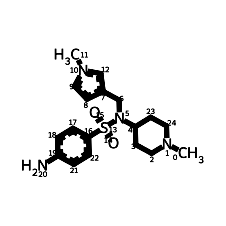 CN1CCC(N(Cc2ccn(C)c2)S(=O)(=O)c2ccc(N)cc2)CC1